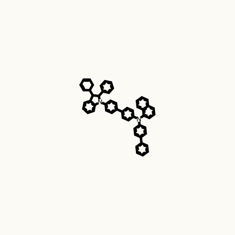 C1=CCC(C2c3ccccc3N(c3ccc(-c4ccc(N(c5ccc(-c6ccccc6)cc5)c5cccc6ccccc56)cc4)cc3)C2c2ccccc2)C=C1